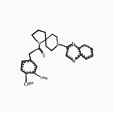 COc1ccc(CC(=O)N2CCCC23CCN(c2cnc4ccccc4n2)CC3)cc1OC